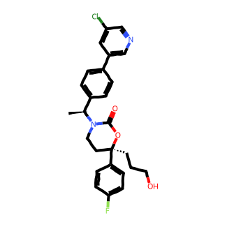 C[C@@H](c1ccc(-c2cncc(Cl)c2)cc1)N1CC[C@](CCCO)(c2ccc(F)cc2)OC1=O